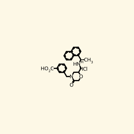 C[C@@H](NCC1CN(Cc2cccc(C(=O)O)c2)C(=O)CO1)c1cccc2ccccc12.Cl